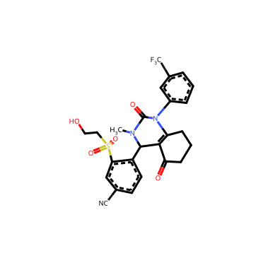 CN1C(=O)N(c2cccc(C(F)(F)F)c2)C2=C(C(=O)CCC2)C1c1ccc(C#N)cc1S(=O)(=O)CCO